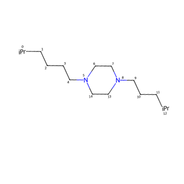 CC(C)CCCCN1CCN(CCCC(C)C)CC1